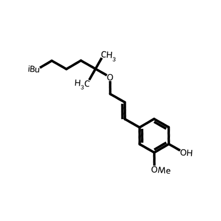 CCC(C)CCCC(C)(C)OCC=Cc1ccc(O)c(OC)c1